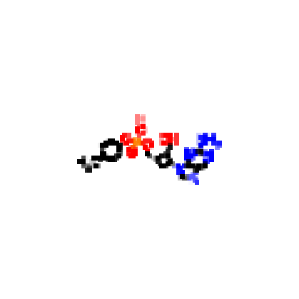 Cc1ccc(OP(=O)(O)OC[C@H]2C[C@@H](n3cnc4cnc(N)nc43)[C@@H]2CO)cc1